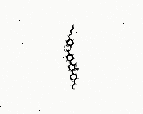 CCCCCc1ccc(OC(=O)c2ccc(-c3ccc(C4CCC(CCC)CC4)c(F)c3F)cc2)c(F)c1